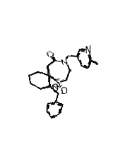 Cc1ccc(CN2CCS(=O)(=O)C3(CCCCC3Cc3ccccc3)CC2=O)cn1